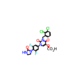 O=C(O)Oc1cn(-c2cc(F)c(N3CCNC3=O)c(F)c2)c(=O)n(Cc2cccc(Cl)c2Cl)c1=O